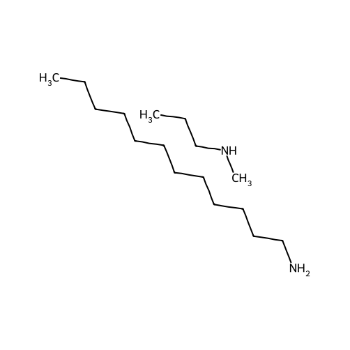 CCCCCCCCCCCCN.CCCNC